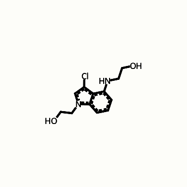 OCCNc1cccc2c1c(Cl)cn2CCO